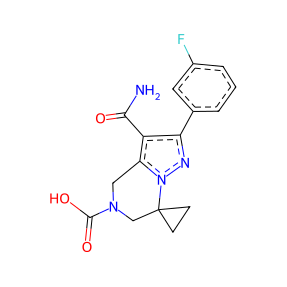 NC(=O)c1c(-c2cccc(F)c2)nn2c1CN(C(=O)O)CC21CC1